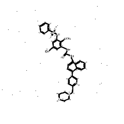 COc1c(NC(=O)Nc2ccc(-c3ccc(CN4CCOCC4)nc3)c3ccccc23)cc(C(C)(C)C)cc1NS(=O)(=O)c1ccccc1